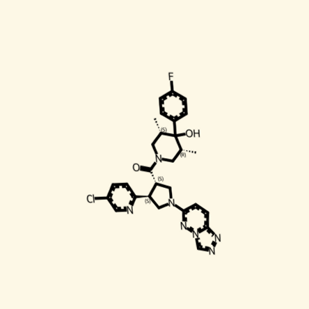 C[C@@H]1CN(C(=O)[C@@H]2CN(c3ccc4nncn4n3)C[C@H]2c2ccc(Cl)cn2)C[C@H](C)C1(O)c1ccc(F)cc1